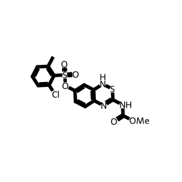 COC(=O)NC1=Nc2ccc(OS(=O)(=O)c3c(C)cccc3Cl)cc2NS1